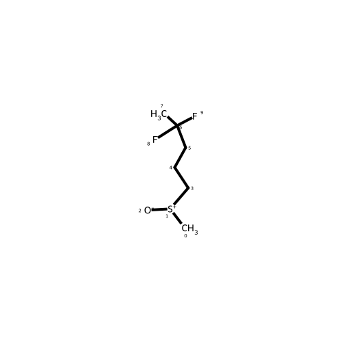 C[S+]([O-])CCCC(C)(F)F